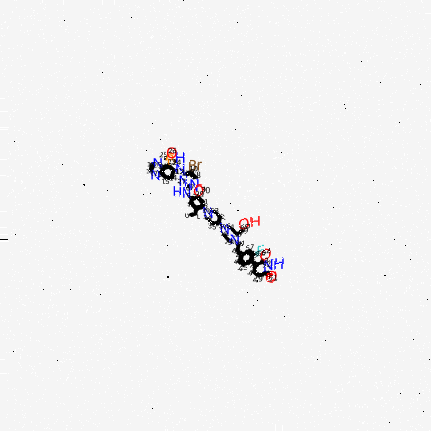 CCc1cc(Nc2ncc(Br)c(Nc3ccc4nccnc4c3P(C)(C)=O)n2)c(OC)cc1N1CCC(N2CCN(CCc3ccc(C4CCC(=O)NC4=O)c(F)c3)C(CO)C2)CC1